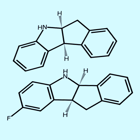 Fc1ccc2c(c1)[C@@H]1Cc3ccccc3[C@@H]1N2.c1ccc2c(c1)C[C@@H]1Nc3ccccc3[C@H]21